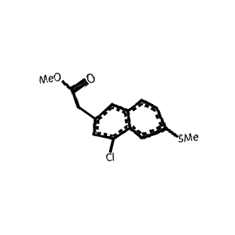 COC(=O)Cc1cc(Cl)c2cc(SC)ccc2c1